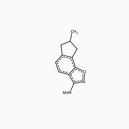 CNc1noc2c3c(ccc12)CC(C)C3